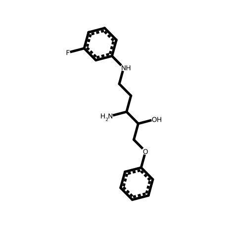 NC(CCNc1cccc(F)c1)C(O)COc1ccccc1